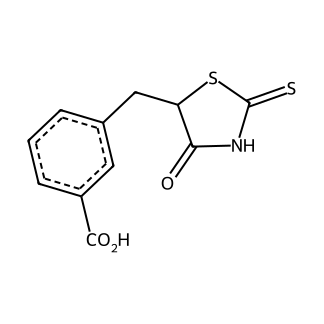 O=C(O)c1cccc(CC2SC(=S)NC2=O)c1